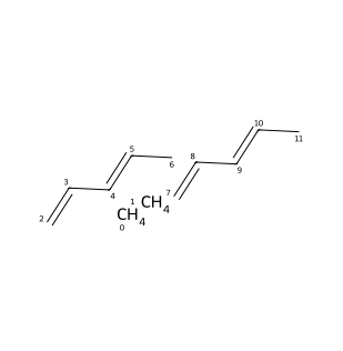 C.C.C=CC=CC.C=CC=CC